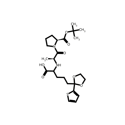 C[C@H](NC(CCCC1(c2cccs2)OCCO1)C(=O)O)C(=O)N1CCC[C@H]1C(=O)OC(C)(C)C